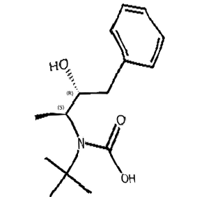 C[C@@H]([C@H](O)Cc1ccccc1)N(C(=O)O)C(C)(C)C